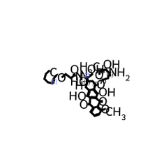 COc1cccc2c1C(=O)c1c(O)c3c(c(O)c1C2=O)C[C@@](O)(/C(CO)=N\NC(=O)CCOC1/C=C/CCCCC1)C[C@@H]3O[C@H]1C[C@H](N)[C@H](O)[C@H](C)O1